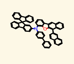 c1ccc(-c2ccc(N(c3ccc4c(c3)C3(c5ccccc5-c5ccccc53)c3ccccc3-4)c3cccc4c3oc3c(-c5ccc6ccccc6c5)c5ccccc5cc34)cc2)cc1